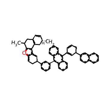 CC1CC2=C(C[C@@H](C)C=C2)c2c1oc1c2=CC(c2cccc(-c3c4ccccc4c(C4=CC(c5ccc6ccccc6c5)CC=C4)c4ccccc34)c2)CC=1